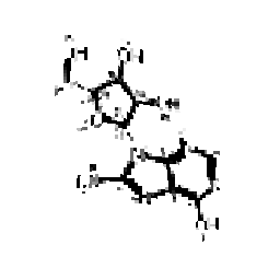 Nc1nc2c(O)ncnc2n1[C@@H]1O[C@H](CO)C(O)C1O